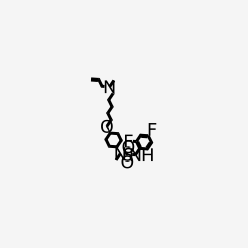 C=CCN(C)CCCCCO[C@H]1CC[C@H](N(C)S(=O)(=O)Nc2ccc(F)cc2F)CC1